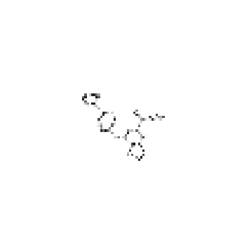 COC(=O)c1cc(Cc2ccc(-n3cccn3)cc2)c2c(n1)CCO2